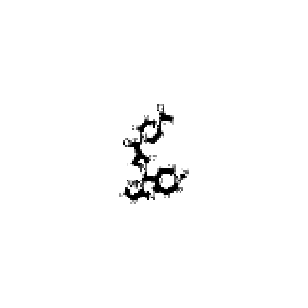 CC(=O)N1CCN(C(=O)C2CN(c3c4c(nc5ccnn35)CCN(C)CC4)C2)CC1